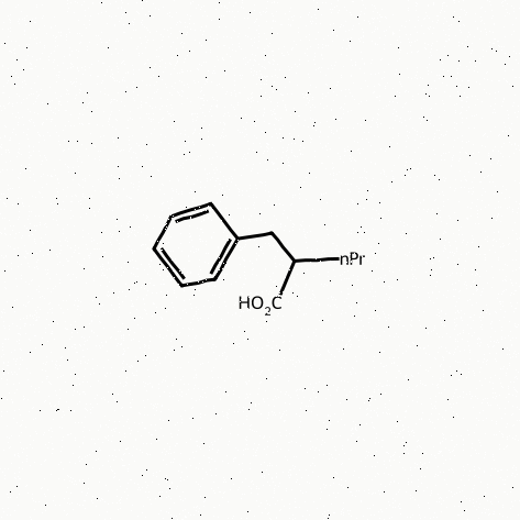 CCCC(Cc1ccccc1)C(=O)O